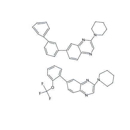 FC(F)(F)Oc1ccccc1-c1ccc2ncc(N3CCCCC3)nc2c1.c1ccc(-c2cccc(-c3ccc4ncc(N5CCCCC5)nc4c3)c2)cc1